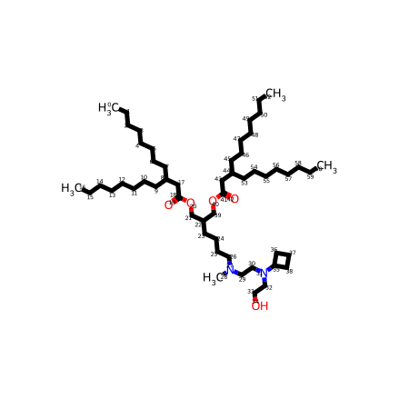 CCCCCCCCC(CCCCCCCC)CC(=O)OCC(CCCCN(C)CCN(CCO)C1CCC1)COC(=O)CC(CCCCCCCC)CCCCCCCC